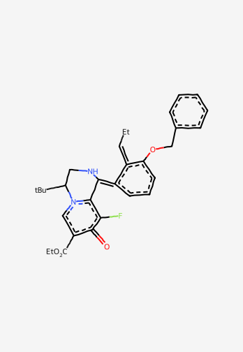 CC/C=c1\c(OCc2ccccc2)ccc\c1=C1\NCC(C(C)(C)C)n2cc(C(=O)OCC)c(=O)c(F)c21